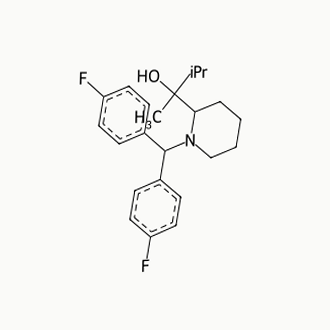 CC(C)C(C)(O)C1CCCCN1C(c1ccc(F)cc1)c1ccc(F)cc1